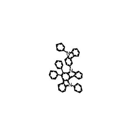 c1ccc(-c2c(-c3ccccc3)c3c(c4ccccc4n3-c3ccc4c(c3)c3ccccc3n4-c3ccccc3)c3c2c2ccccc2n3-c2ccccc2)cc1